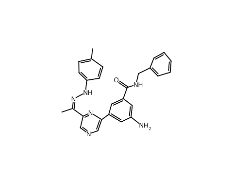 CC(=NNc1ccc(C)cc1)c1cncc(-c2cc(N)cc(C(=O)NCc3ccccc3)c2)n1